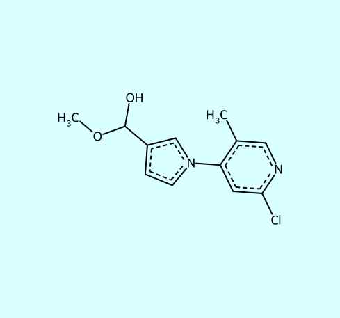 COC(O)c1ccn(-c2cc(Cl)ncc2C)c1